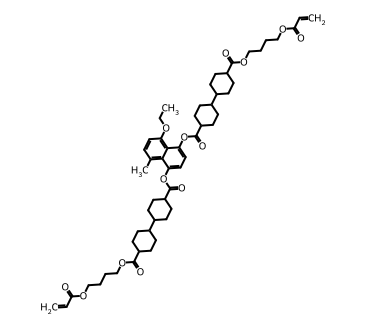 C=CC(=O)OCCCCOC(=O)C1CCC(C2CCC(C(=O)Oc3ccc(OC(=O)C4CCC(C5CCC(C(=O)OCCCCOC(=O)C=C)CC5)CC4)c4c(OCC)ccc(C)c34)CC2)CC1